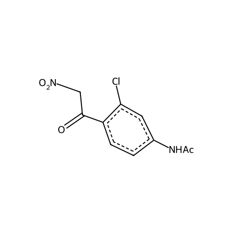 CC(=O)Nc1ccc(C(=O)C[N+](=O)[O-])c(Cl)c1